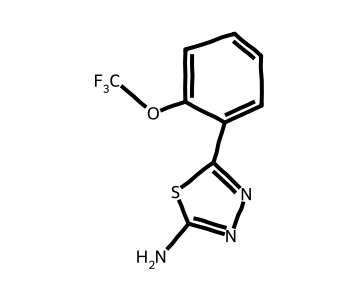 Nc1nnc(-c2ccccc2OC(F)(F)F)s1